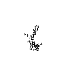 C#Cc1cccc(Br)c1NC(=O)c1cnc(Nc2ccc(C3CCN(C(=O)OC(C)(C)C)CC3)c(C)c2)nc1OC